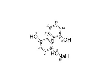 Oc1ccc(O)cc1.Oc1ccccc1.[NaH]